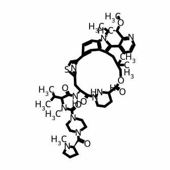 CCn1c(-c2cccnc2[C@H](C)OC)c2c3cc(ccc31)-c1csc(n1)C[C@H](NC(=O)C(C(C)C)N(C)C(=O)N1CCN(C(=O)[C@H]3CCCN3C)CC1)C(=O)N1CCC[C@H](N1)C(=O)OCC(C)(C)C2